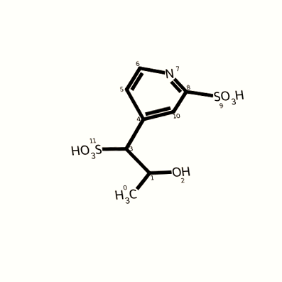 CC(O)C(c1ccnc(S(=O)(=O)O)c1)S(=O)(=O)O